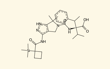 CC(C)[C@@](NC(=O)N1Cc2c(NC(=O)C3([Si](C)(C)C)CCC3)n[nH]c2C1(C)C)(C(=O)O)C(C)c1ccccc1